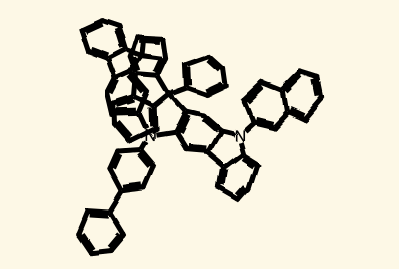 CC1(C)c2ccccc2-c2ccc(N(c3ccc(-c4ccccc4)cc3)c3cc4c5ccccc5n(-c5ccc6ccccc6c5)c4cc3C3(c4ccccc4)c4ccccc4-c4ccccc43)cc21